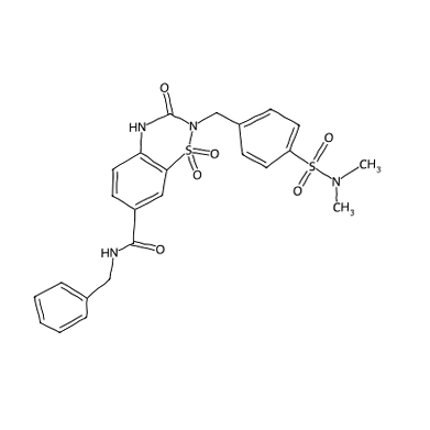 CN(C)S(=O)(=O)c1ccc(CN2C(=O)Nc3ccc(C(=O)NCc4ccccc4)cc3S2(=O)=O)cc1